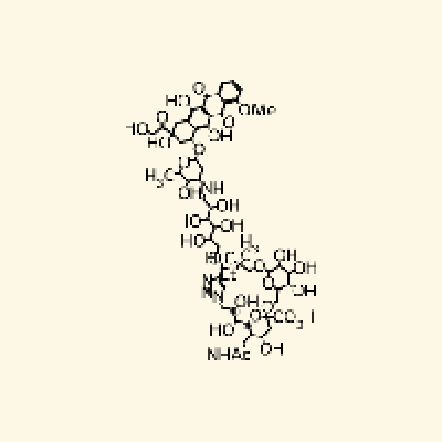 CCC(C)(C)COC1OC(COC2(C(=O)O)CC(O)C(CNC(C)=O)[C@@H](C(O)[C@H](O)Cn3cc(COCC(O)C(O)C(O)C(O)CNC4CC(OC5CC(O)(C(=O)CO)Cc6c(O)c7c(c(O)c65)C(=O)c5c(OC)cccc5C7=O)OC(C)C4O)nn3)O2)C(O)C(O)C1O